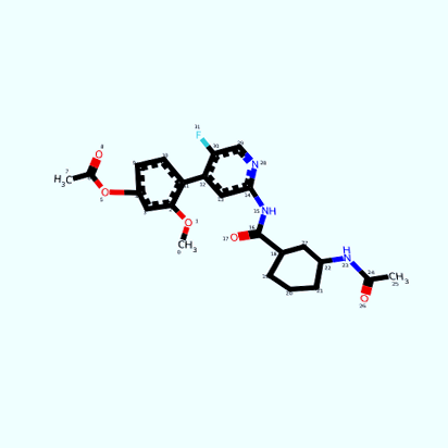 COc1cc(OC(C)=O)ccc1-c1cc(NC(=O)C2CCCC(NC(C)=O)C2)ncc1F